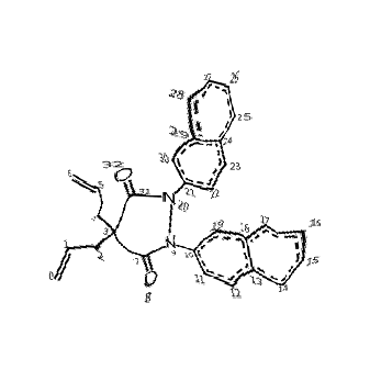 C=CCC1(CC=C)C(=O)N(c2ccc3ccccc3c2)N(c2ccc3ccccc3c2)C1=O